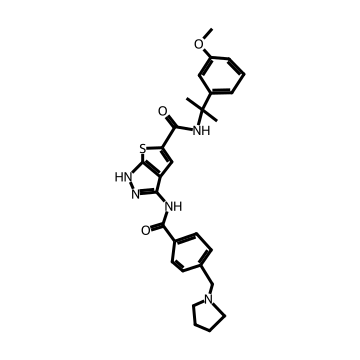 COc1cccc(C(C)(C)NC(=O)c2cc3c(NC(=O)c4ccc(CN5CCCC5)cc4)n[nH]c3s2)c1